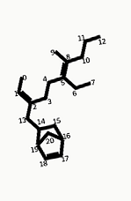 C/C=C(\CC/C(CC)=C(\C)CCC)CC1CC2C=CC1C2